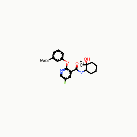 CSc1cccc(Oc2ncc(F)cc2C(=O)NC2CCCCC2(C)O)c1